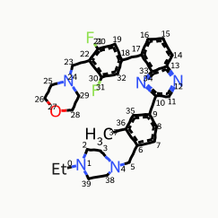 CCN1CCN(Cc2ccc(-c3cnc4cccc(-c5cc(F)c(CN6CCOCC6)c(F)c5)c4n3)cc2C)CC1